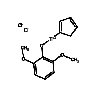 COc1cccc(OC)c1[O][Ti+2][C]1=CC=CC1.[Cl-].[Cl-]